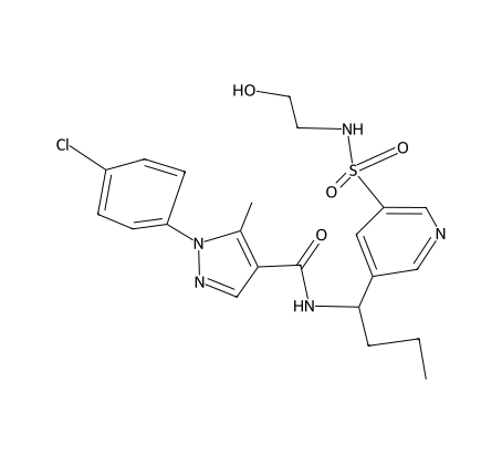 CCCC(NC(=O)c1cnn(-c2ccc(Cl)cc2)c1C)c1cncc(S(=O)(=O)NCCO)c1